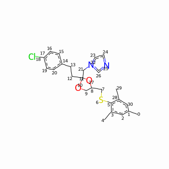 Cc1cc(C)c(SCC2COC(CCc3ccc(Cl)cc3)(Cn3ccnc3)O2)c(C)c1